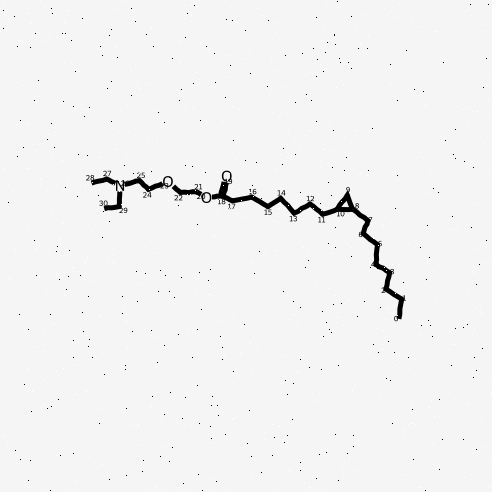 CCCCCCCCC1CC1CCCCCCCC(=O)OCCOCCN(CC)CC